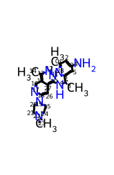 Cc1cc(N)cc([C@@H](C)Nc2nnc(C)c3cnc(N4CCN(C)CC4)cc23)n1